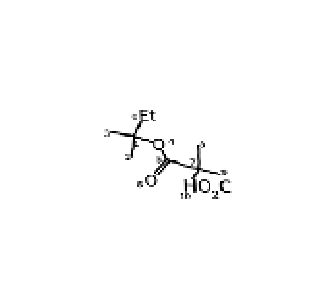 CCC(C)(C)OC(=O)C(C)(C)C(=O)O